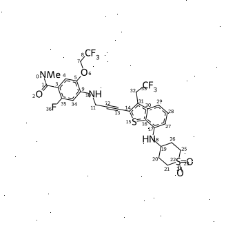 CNC(=O)c1cc(OCC(F)(F)F)c(NCC#Cc2sc3c(NC4CCS(=O)(=O)CC4)cccc3c2CC(F)(F)F)cc1F